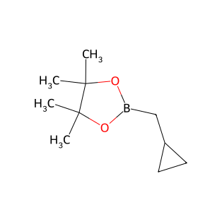 CC1(C)OB(CC2CC2)OC1(C)C